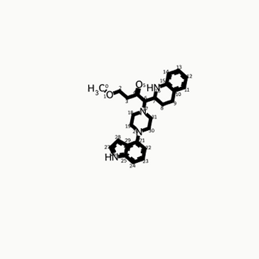 COCCC(=O)C(C1CCc2ccccc2N1)N1CCN(c2cccc3[nH]ccc23)CC1